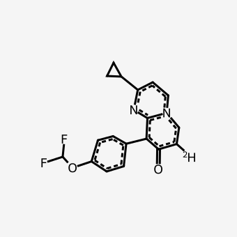 [2H]c1cn2ccc(C3CC3)nc2c(-c2ccc(OC(F)F)cc2)c1=O